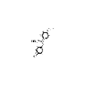 O=Cc1ccc(N(Cc2ccc(Cl)cc2)C(=O)O)nc1